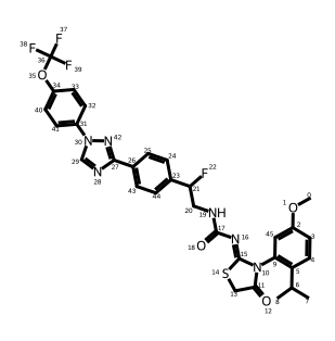 COc1ccc(C(C)C)c(N2C(=O)CS/C2=N\C(=O)NCC(F)c2ccc(-c3ncn(-c4ccc(OC(F)(F)F)cc4)n3)cc2)c1